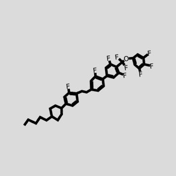 CCCCCC1CCC(c2ccc(CCc3ccc(-c4cc(F)c(C(F)(F)Oc5cc(F)c(F)c(F)c5)c(F)c4)c(F)c3)c(F)c2)CC1